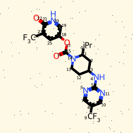 CC(C)C1CC(Nc2ncc(C(F)(F)F)cn2)CCN1C(=O)Oc1c[nH]c(=O)c(C(F)(F)F)c1